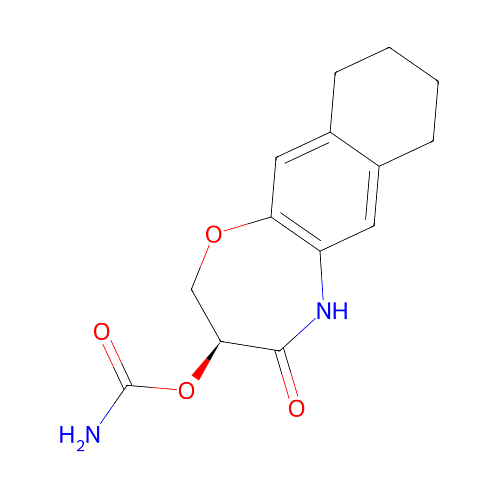 NC(=O)O[C@H]1COc2cc3c(cc2NC1=O)CCCC3